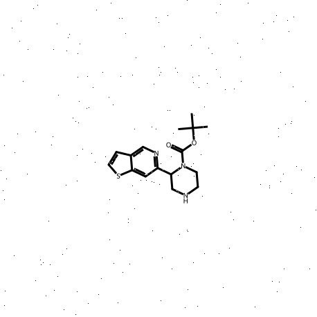 CC(C)(C)OC(=O)N1CCNCC1c1cc2sccc2cn1